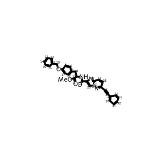 COC(=O)C(Cc1ccc(OCc2ccccc2)cc1)NC(=O)c1cn2nc(C#Cc3ccccc3)ccc2n1